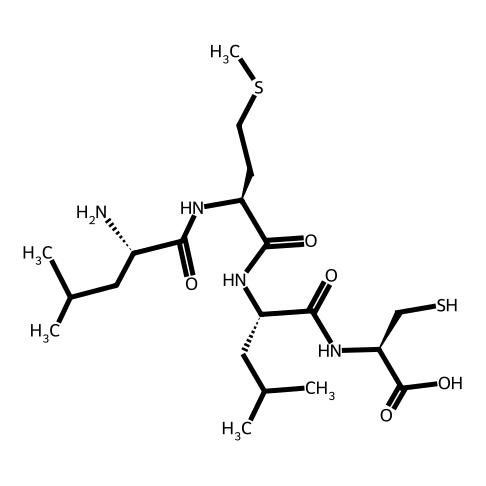 CSCC[C@H](NC(=O)[C@@H](N)CC(C)C)C(=O)N[C@@H](CC(C)C)C(=O)N[C@@H](CS)C(=O)O